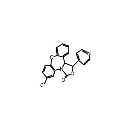 O=C1OC(c2ccncc2)C2c3ccccc3Oc3ccc(Cl)cc3N12